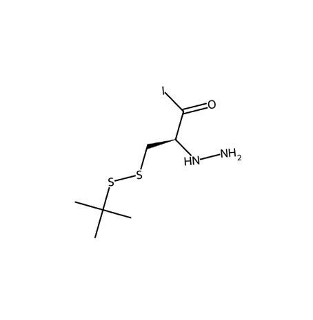 CC(C)(C)SSC[C@H](NN)C(=O)I